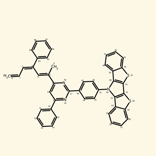 C=C/C=C(\C=C(/C)c1cc(-c2ccccc2)nc(-c2ccc(-n3c4c5ccccc5sc4c4sc5ccccc5c43)cc2)n1)c1ccccc1